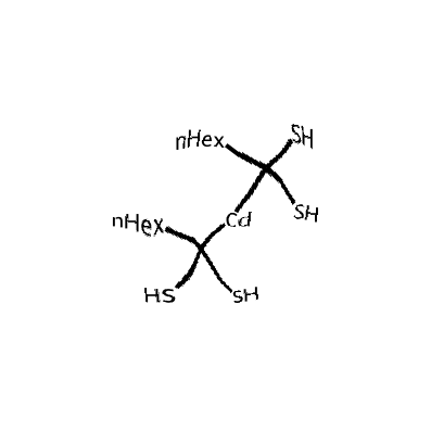 CCCCCC[C](S)(S)[Cd][C](S)(S)CCCCCC